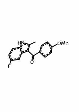 COc1ccc(C(=O)c2c(C)[nH]c3ccc(F)cc23)cc1